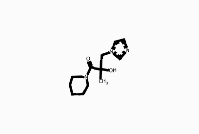 CC(O)(Cn1ccnc1)C(=O)N1CCCCC1